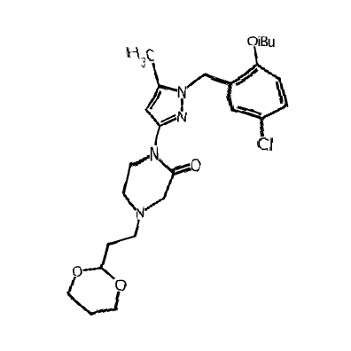 Cc1cc(N2CCN(CCC3OCCCO3)CC2=O)nn1Cc1cc(Cl)ccc1OCC(C)C